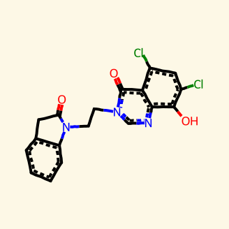 O=C1Cc2ccccc2N1CCn1cnc2c(O)c(Cl)cc(Cl)c2c1=O